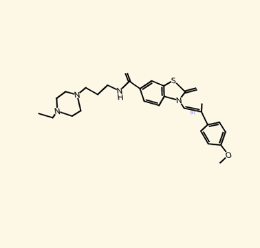 C=C(NCCCN1CCN(CC)CC1)c1ccc2c(c1)SC(=C)N2/C=C(\C)c1ccc(OC)cc1